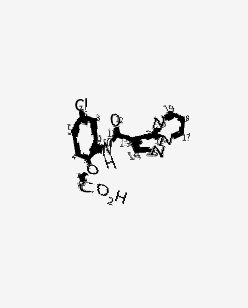 O=C(O)COc1ccc(Cl)cc1NC(=O)c1cnn2cccnc12